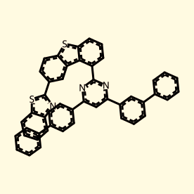 c1ccc(-c2ccc(-c3cc(-c4cccc(-c5ccccc5)c4)nc(-c4cccc5sc6ccc(-c7nc8ccccc8s7)cc6c45)n3)cc2)cc1